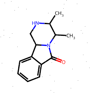 CC1NCC2c3ccccc3C(=O)N2C1C